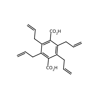 C=CCc1c(CC=C)c(C(=O)O)c(CC=C)c(CC=C)c1C(=O)O